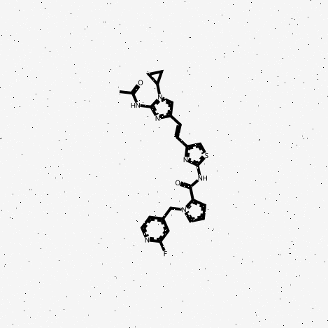 CC(=O)Nc1nc(/C=C/c2csc(NC(=O)c3cccn3Cc3ccnc(F)c3)n2)cn1C1CC1